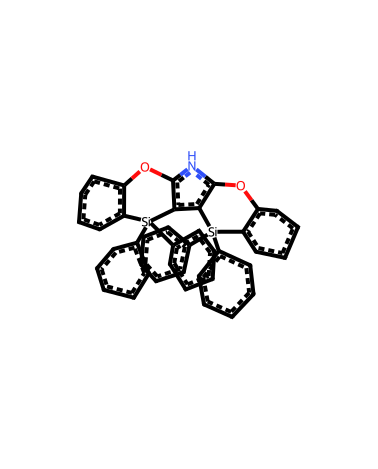 c1ccc([Si]2(c3ccccc3)c3ccccc3Oc3[nH]c4c(c32)[Si](c2ccccc2)(c2ccccc2)c2ccccc2O4)cc1